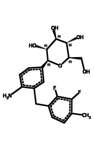 Cc1ccc(Cc2cc([C@@H]3O[C@H](CO)[C@@H](O)[C@H](O)[C@H]3O)ccc2N)c(F)c1F